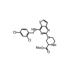 COC(=O)C1CN(c2nc(NCc3ccc(Cl)cc3Cl)c3sccc3n2)CCN1